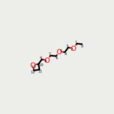 CCOCCOCCOCC1CCO1